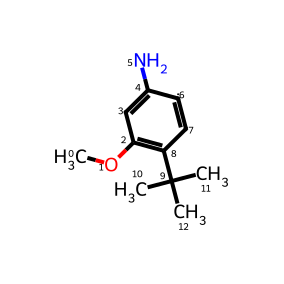 COc1cc(N)[c]cc1C(C)(C)C